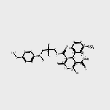 CCOc1ccc(N(C)CC(C)(C)COC(=O)C2=C(C)NC(C)=C(C(=O)OC)C2c2cccc([N+](=O)[O-])c2F)cc1